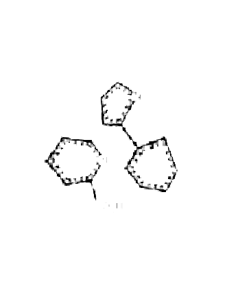 O=C(O)c1ccccn1.c1ccc(-c2ccc[nH]2)cc1